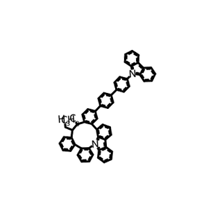 CCC1c2ccccc2-c2ccccc2-n2c3ccccc3c3cccc(c32)-c2cc(-c3ccc(-c4ccc(-n5c6ccccc6c6ccccc65)cc4)cc3)ccc2C1C